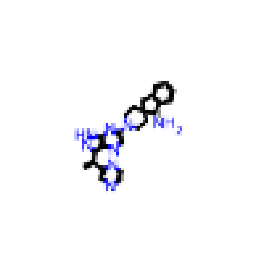 C=C(c1cnccn1)c1n[nH]c2nc(N3CCC4(CC3)Cc3ccccc3[C@H]4N)cnc12